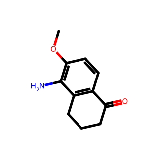 COc1ccc2c(c1N)CCCC2=O